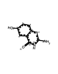 Nc1nc2ccc(O)cc2c(=O)[nH]1